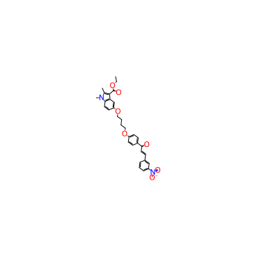 CCOC(=O)c1c(C)n(C)c2ccc(OCCCCOc3ccc(C(=O)C=Cc4cccc([N+](=O)[O-])c4)cc3)cc12